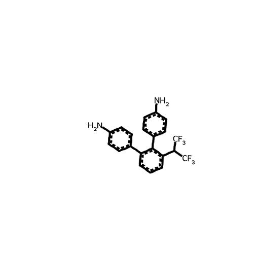 Nc1ccc(-c2cccc(C(C(F)(F)F)C(F)(F)F)c2-c2ccc(N)cc2)cc1